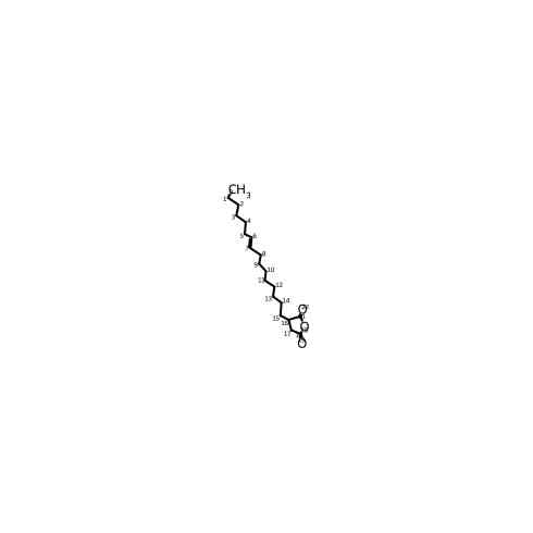 CCCCCCC=CCCCCCCCCC1CC(=O)OC1=O